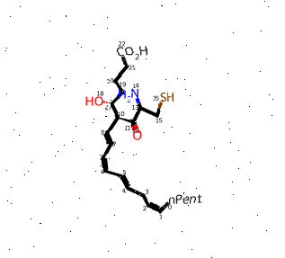 CCCCC/C=C\C/C=C/C=C\C=C\[C@H](C(=O)C(N)CS)[C@H](O)CCCC(=O)O